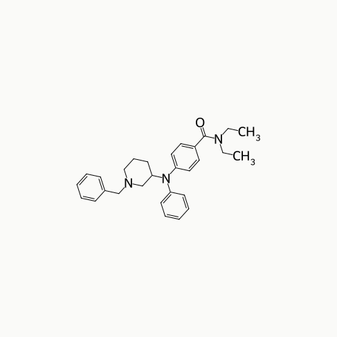 CCN(CC)C(=O)c1ccc(N(c2ccccc2)C2CCCN(Cc3ccccc3)C2)cc1